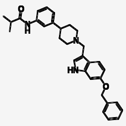 CC(C)C(=O)Nc1cccc(C2CCN(Cc3c[nH]c4cc(OCc5ccccc5)ccc34)CC2)c1